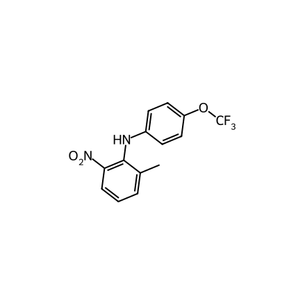 Cc1cccc([N+](=O)[O-])c1Nc1ccc(OC(F)(F)F)cc1